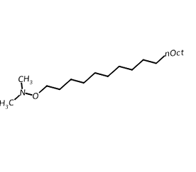 CCCCCCCCCCCCCCCCCCON(C)C